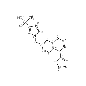 CCC(O)(c1cn(Cc2ccc3c(c2)OC=CC3c2ccns2)nn1)C(F)(F)F